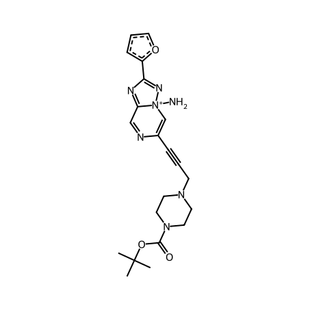 CC(C)(C)OC(=O)N1CCN(CC#CC2=C[N+]3(N)N=C(c4ccco4)N=C3C=N2)CC1